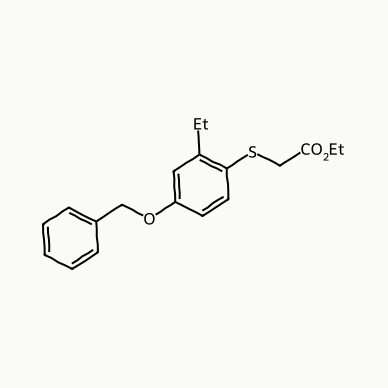 CCOC(=O)CSc1ccc(OCc2ccccc2)cc1CC